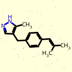 CC(C)=Cc1ccc(Cc2cn[nH]c2C)cc1